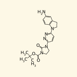 CC(C)(C)OC(=O)N1CCN(c2ccc(N3CCc4cc(N)ccc43)nn2)C1=O